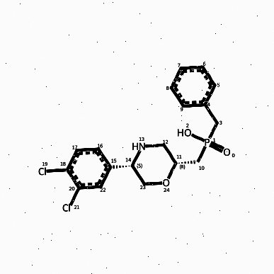 O=P(O)(Cc1ccccc1)C[C@H]1CN[C@@H](c2ccc(Cl)c(Cl)c2)CO1